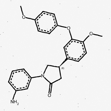 COc1ccc(Oc2cc([C@H]3CC(=O)N(c4cccc(N)c4)C3)ccc2OC)cc1